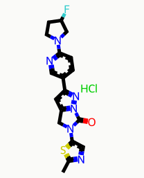 Cc1ncc(N2Cc3cc(-c4ccc(N5CCC(F)C5)nc4)nn3C2=O)s1.Cl